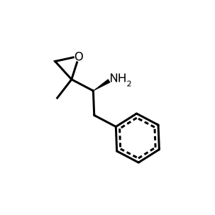 CC1([C@@H](N)Cc2ccccc2)CO1